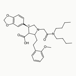 CCCCN(CCCC)C(=O)CN1C[C@H](c2ccc3c(c2)OCO3)C(C(=O)O)C1CCc1ccccc1OC